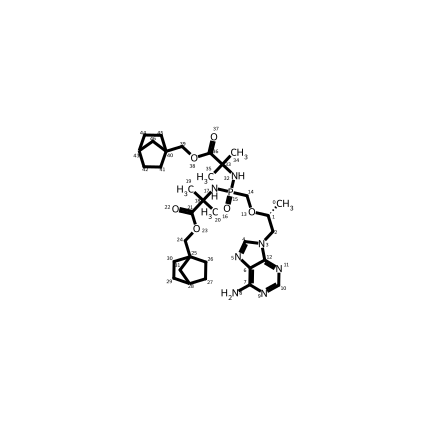 C[C@H](Cn1cnc2c(N)ncnc21)OCP(=O)(NC(C)(C)C(=O)OCC12CCC(CC1)C2)NC(C)(C)C(=O)OCC12CCC(CC1)C2